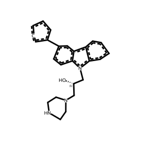 O[C@@H](CN1CCNCC1)Cn1c2ccccc2c2cc(-c3ccccc3)ccc21